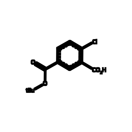 CC(C)(C)OC(=O)c1ccc(Cl)c(C(=O)O)c1